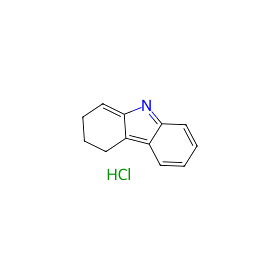 C1=C2N=c3ccccc3=C2CCC1.Cl